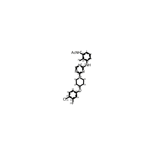 CC(=O)Nc1cccc(Nc2ncnc(N3CCC(Oc4ccc(Cl)c(F)c4)CC3)n2)c1C